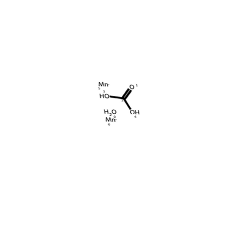 O.O=C(O)O.[Mn].[Mn]